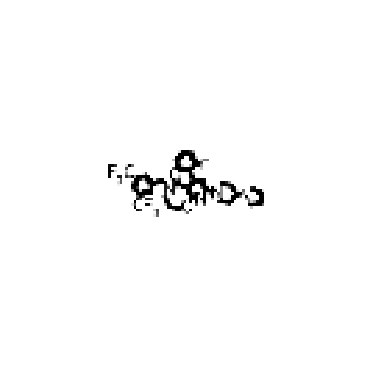 O=C1c2c(-c3ccccc3F)cc(N3CCC(N4CCCC4)CC3)nc2OCCCN1Cc1cc(C(F)(F)F)cc(C(F)(F)F)c1